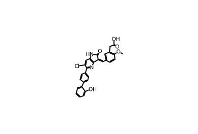 COc1ccc(C=C2C(=O)Nc3cc(Cl)c(-c4ccc(-c5ccccc5O)cc4)nc32)cc1CC(=O)O